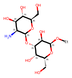 CCO[C@H]1O[C@H](CO)[C@H](O)[C@H](O[C@@H]2O[C@H](CO)[C@@H](O)[C@H](O)[C@@H]2N)[C@H]1O